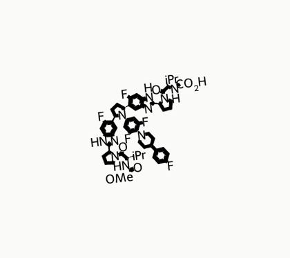 COC(=O)N[C@H](C(=O)N1CCC[C@H]1c1nc2cc([C@H]3CC[C@H](c4cc5nc([C@@H]6CCCN6C(=O)[C@@H](NC(=O)O)C(C)C)[nH]c5cc4F)N3c3cc(F)c(N4CCC(c5ccc(F)cc5)CC4)c(F)c3)c(F)cc2[nH]1)C(C)C